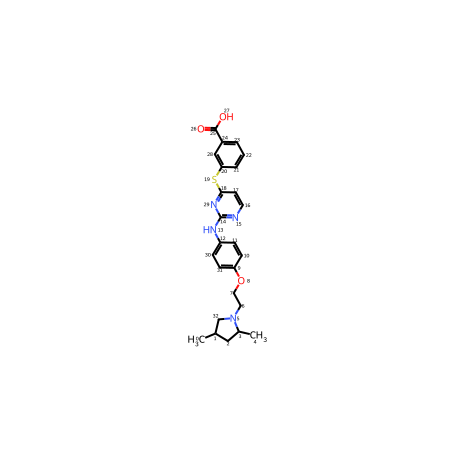 CC1CC(C)N(CCOc2ccc(Nc3nccc(Sc4cccc(C(=O)O)c4)n3)cc2)C1